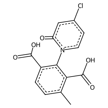 Cc1ccc(C(=O)O)c(-n2ccc(Cl)cc2=O)c1C(=O)O